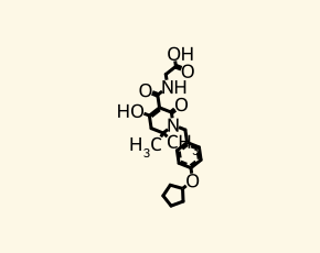 CC1(C)CC(O)=C(C(=O)NCC(=O)O)C(=O)N1Cc1ccc(OC2CCCC2)cc1